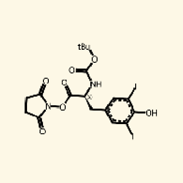 CC(C)(C)OC(=O)N[C@@H](Cc1cc(I)c(O)c(I)c1)C(=O)ON1C(=O)CCC1=O